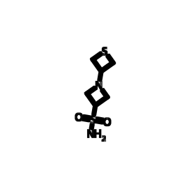 NS(=O)(=O)C1CN(C2CSC2)C1